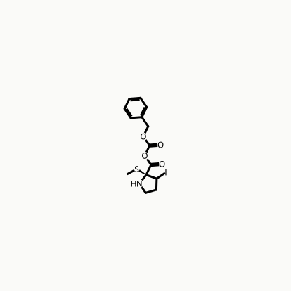 CS[C@]1(C(=O)OC(=O)OCc2ccccc2)NCCC1I